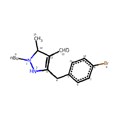 CCCCN1NC(Cc2ccc(Br)cc2)=C(C=O)C1C